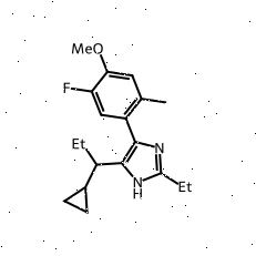 CCc1nc(-c2cc(F)c(OC)cc2C)c(C(CC)C2CC2)[nH]1